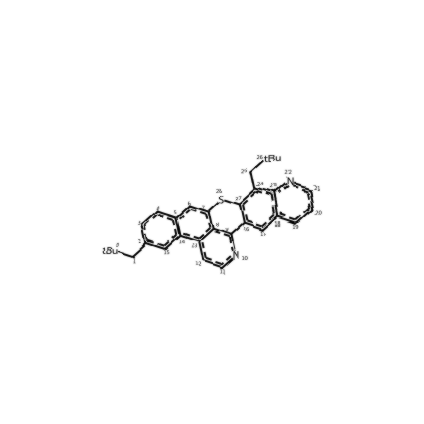 CC(C)(C)Cc1ccc2cc3c4c(nccc4c2c1)-c1cc2cccnc2c(CC(C)(C)C)c1S3